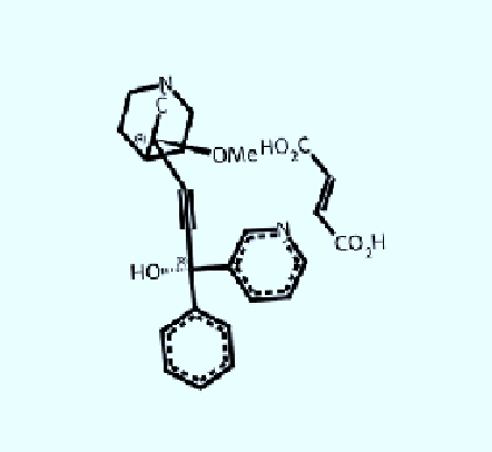 CO[C@]1(C#C[C@](O)(c2ccccc2)c2cccnc2)CN2CCC1CC2.O=C(O)C=CC(=O)O